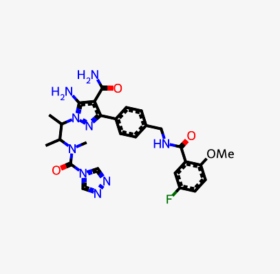 COc1ccc(F)cc1C(=O)NCc1ccc(-c2nn(C(C)C(C)N(C)C(=O)n3cnnc3)c(N)c2C(N)=O)cc1